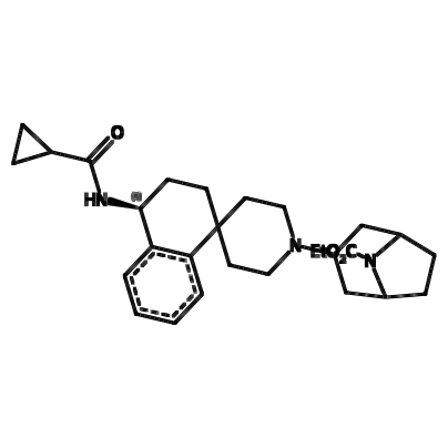 CCOC(=O)N1C2CCC1CC(N1CCC3(CC[C@H](NC(=O)C4CC4)c4ccccc43)CC1)C2